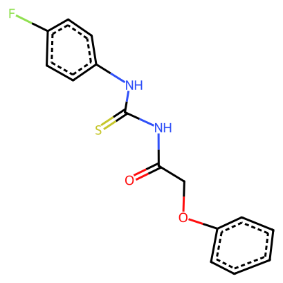 O=C(COc1ccccc1)NC(=S)Nc1ccc(F)cc1